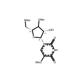 CNC[C@H]1O[C@@H](n2cc(OC)c(=O)[nH]c2=O)[C@@H](O)C1OC